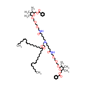 CCCCC/C=C\C/C=C\CCCCCCCCC1(CCCCCCCC/C=C\C/C=C\CCCCC)OC[C@H](CN(CCCCCC(=O)NCCOCCOCCO[C@H]2OC(COC(=O)c3ccccc3)[C@@H](C)[C@H](C)C2C)CCCCCC(=O)NCCOCCOCCO[C@H]2OC(COC(=O)c3ccccc3)[C@@H](C)[C@H](C)C2C)O1